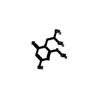 CSc1nc(O)cc(=O)n1CC(C)C